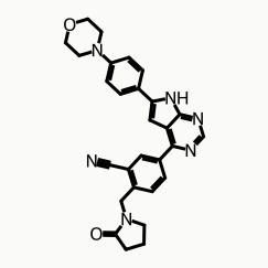 N#Cc1cc(-c2ncnc3[nH]c(-c4ccc(N5CCOCC5)cc4)cc23)ccc1CN1CCCC1=O